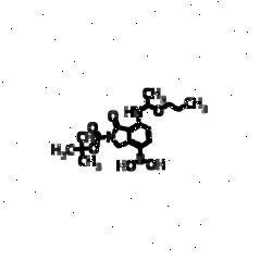 CCCOC(C)Nc1ccc(B(O)O)c2c1C(=O)N(C(=O)OC(C)(C)C)C2